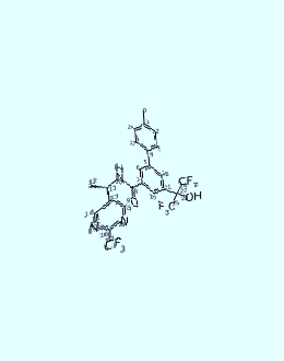 Cc1ccc(-c2cc(C(=O)N[C@H](C)c3cnc(C(F)(F)F)nc3)cc(C(O)(C(F)(F)F)C(F)(F)F)c2)cc1